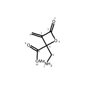 C=C1C(=O)OC1(CN)C(=O)OC